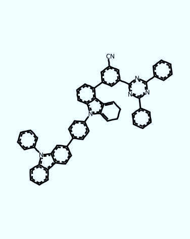 N#Cc1cc(-c2nc(-c3ccccc3)nc(-c3ccccc3)n2)cc(-c2cccc3c2c2c(n3-c3ccc(-c4ccc5c6ccccc6n(-c6ccccc6)c5c4)cc3)=CCCC=2)c1